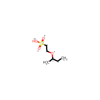 CCC(C)OCCS(=O)(=O)O